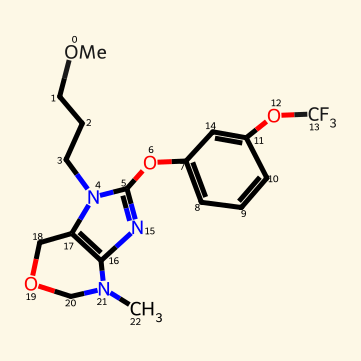 COCCCn1c(Oc2cccc(OC(F)(F)F)c2)nc2c1COCN2C